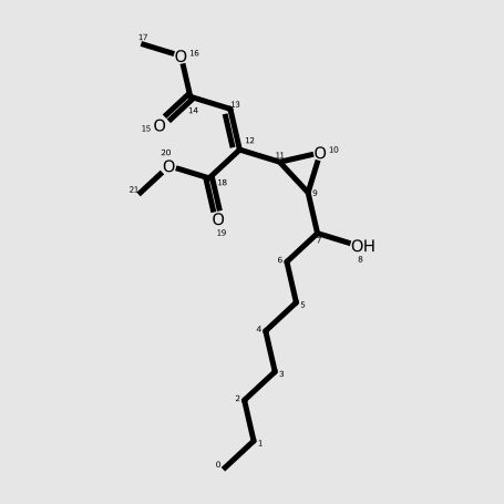 CCCCCCCC(O)C1OC1C(=CC(=O)OC)C(=O)OC